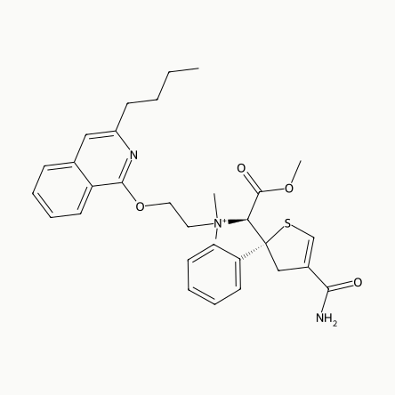 CCCCc1cc2ccccc2c(OCC[N+](C)(C)[C@@H](C(=O)OC)[C@]2(c3ccccc3)CC(C(N)=O)=CS2)n1